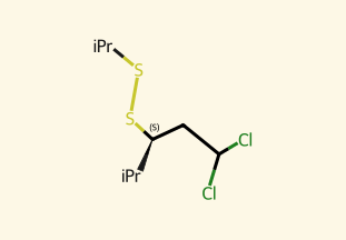 CC(C)SS[C@@H](CC(Cl)Cl)C(C)C